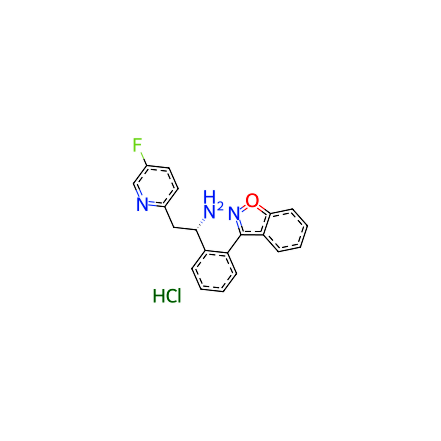 Cl.N[C@@H](Cc1ccc(F)cn1)c1ccccc1-c1noc2ccccc12